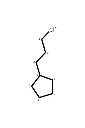 ClCCCC1CCCC1